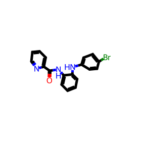 O=C(Nc1ccccc1Nc1ccc(Br)cc1)c1ccccn1